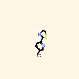 CCc1ccc(C2=NCCS2)nc1